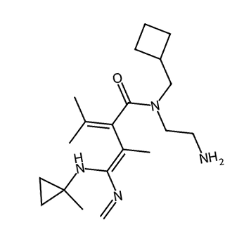 C=N/C(NC1(C)CC1)=C(\C)C(C(=O)N(CCN)CC1CCC1)=C(C)C